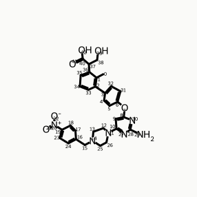 Cc1c(-c2ccc(Oc3cc(N4CCN(Cc5ccc([N+](=O)[O-])cc5)CC4)nc(N)n3)cc2)cccc1C(CO)C(=O)O